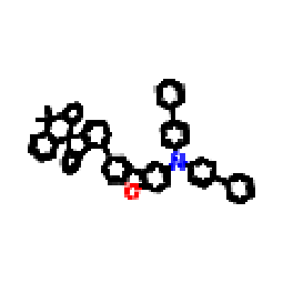 CC1(C)c2ccccc2C2(c3ccccc3-c3c(-c4ccc5oc6ccc(N(c7ccc(-c8ccccc8)cc7)c7ccc(-c8ccccc8)cc7)cc6c5c4)cccc32)c2ccccc21